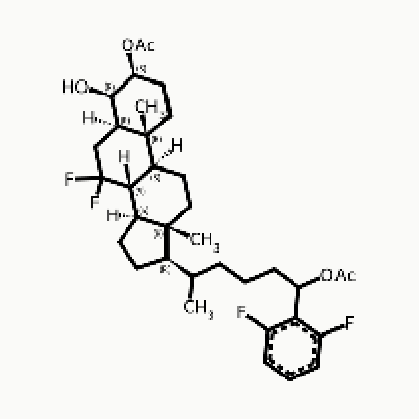 CC(=O)OC(CCCC(C)[C@H]1CC[C@H]2[C@H]3[C@H](CC[C@]12C)[C@@]1(C)CC[C@H](OC(C)=O)[C@H](O)[C@@H]1CC3(F)F)c1c(F)cccc1F